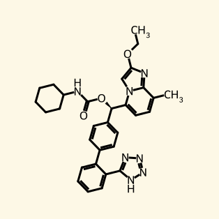 CCOc1cn2c([C@H](OC(=O)NC3CCCCC3)c3ccc(-c4ccccc4-c4nnn[nH]4)cc3)ccc(C)c2n1